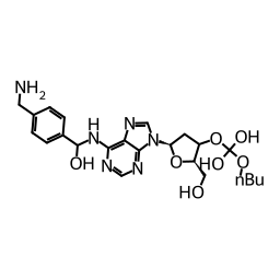 CCCCOC(O)(O)OC1C[C@H](n2cnc3c(NC(O)c4ccc(CN)cc4)ncnc32)O[C@@H]1CO